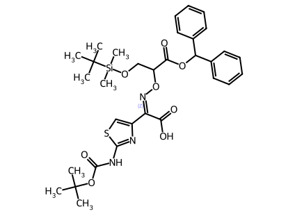 CC(C)(C)OC(=O)Nc1nc(/C(=N/OC(CO[Si](C)(C)C(C)(C)C)C(=O)OC(c2ccccc2)c2ccccc2)C(=O)O)cs1